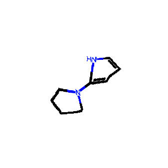 c1c[nH]c(N2CCCC2)c1